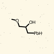 COCC(O)[CH2][PbH]